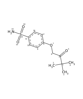 CC(C)(C)C(=O)COc1ccc(S(N)(=O)=O)cc1